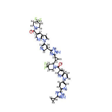 O=C(c1cnc2c(ccn2-c2cncc(-c3n[nH]c(C4CC4C4CC(F)(F)CCN4C(=O)c4cnc5c(ccn5-c5ccc(-c6n[nH]c(C7CC7)n6)nc5)c4)n3)c2)c1)N1CCC(F)(F)CC1